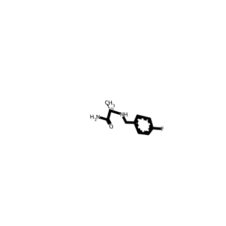 C[C@H](NCc1ccc(F)cc1)C(N)=O